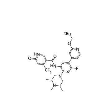 CC1CN(c2cc(F)c(-c3ccnc(OCC(C)(C)C)c3)cc2NC(=O)c2c[nH]c(=O)cc2C(F)(F)F)CC(C)N1C